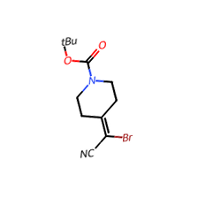 CC(C)(C)OC(=O)N1CCC(=C(Br)C#N)CC1